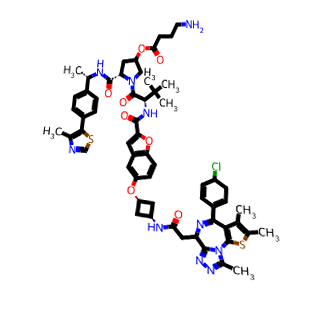 Cc1ncsc1-c1ccc([C@H](C)NC(=O)[C@@H]2CC(OC(=O)CCCN)CN2C(=O)[C@@H](NC(=O)c2cc3cc(O[C@H]4C[C@@H](NC(=O)CC5N=C(C6=CCC(Cl)C=C6)c6c(sc(C)c6C)-n6c(C)nnc65)C4)ccc3o2)C(C)(C)C)cc1